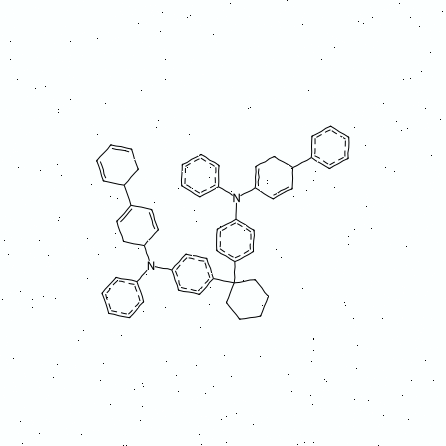 C1=CCC(C2=CCC(N(c3ccccc3)c3ccc(C4(c5ccc(N(C6=CCC(c7ccccc7)C=C6)c6ccccc6)cc5)CCCCC4)cc3)C=C2)C=C1